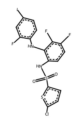 O=S(=O)(Nc1ccc(F)c(F)c1Nc1ccc(I)cc1F)c1ccc(Cl)s1